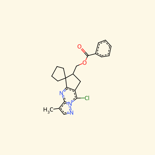 Cc1cnn2c(Cl)c3c(nc12)C1(CCCC1)C(COC(=O)c1ccccc1)C3